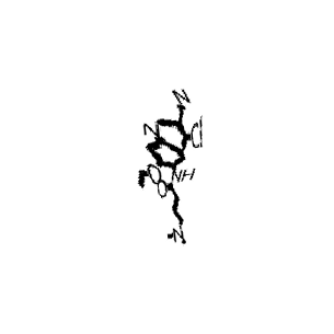 CCOc1cc2ncc(C#N)c(Cl)c2cc1NC(=O)/C=C/CN(C)C